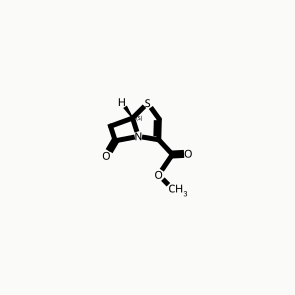 COC(=O)C1=CS[C@H]2CC(=O)N12